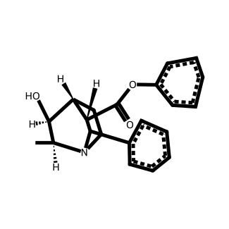 C[C@H]1[C@@H](O)[C@@H]2CCN1C(c1ccccc1)[C@H]2C(=O)Oc1ccccc1